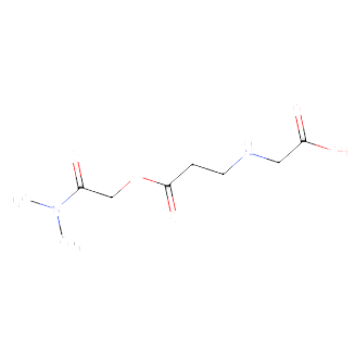 CN(C)C(=O)COC(=O)CCNCC(=O)O